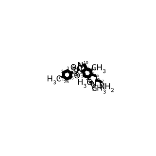 Cc1ccc(S(=O)(=O)n2ncc3c(C)c(C[C@@H](CN)N(C)C)ccc32)cc1